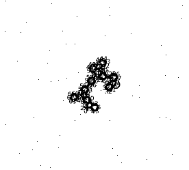 CC1(C)c2ccccc2-c2cc3c4cc(-c5ccc(N6c7ccc(-c8cccc9oc%10ccccc%10c89)cc7C7(C)c8ccccc8-c8cccc6c87)cc5)ccc4n(-c4ccccc4)c3cc21